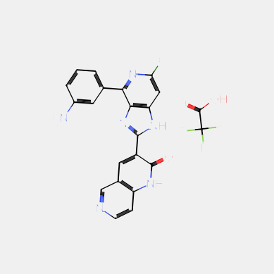 Nc1cccc(-c2nc(Cl)cc3[nH]c(-c4cc5cnccc5[nH]c4=O)nc23)c1.O=C(O)C(F)(F)F